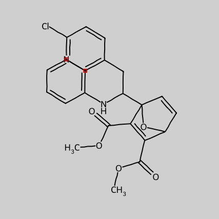 COC(=O)C1=C(C(=O)OC)C2(C(Cc3ccc(Cl)nc3)Nc3ccccc3)C=CC1O2